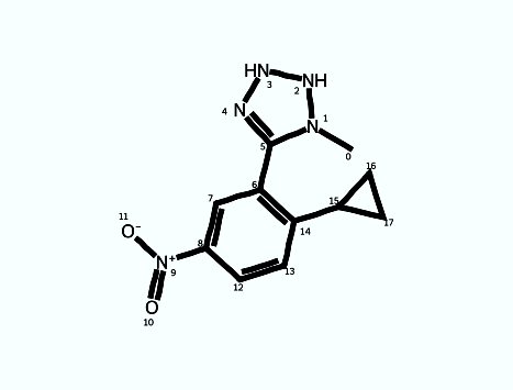 CN1NNN=C1c1cc([N+](=O)[O-])ccc1C1CC1